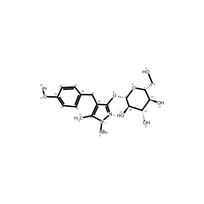 CCCCn1nc(O[C@@H]2O[C@H](CO)[C@@H](O)[C@H](O)[C@H]2O)c(Cc2ccc(OC(C)C)cc2)c1C